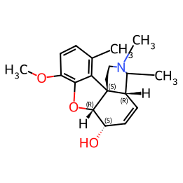 COc1ccc(C)c2c1O[C@H]1[C@@H](O)C=C[C@H]3C(C)N(C)CC[C@@]231